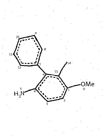 COc1ccc(N)c(-c2ccccc2)c1C